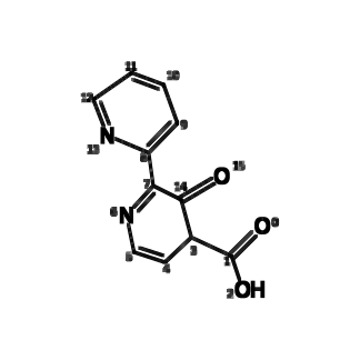 O=C(O)C1C=CN=C(c2ccccn2)C1=O